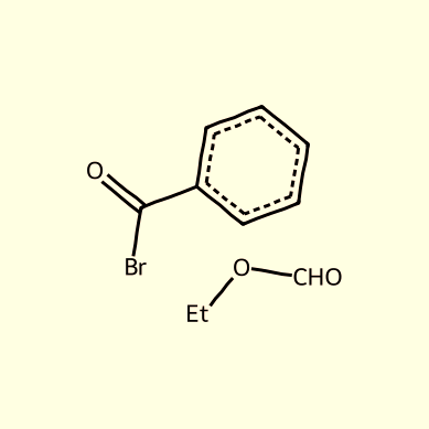 CCOC=O.O=C(Br)c1ccccc1